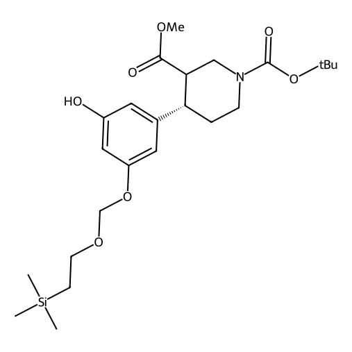 COC(=O)C1CN(C(=O)OC(C)(C)C)CC[C@@H]1c1cc(O)cc(OCOCC[Si](C)(C)C)c1